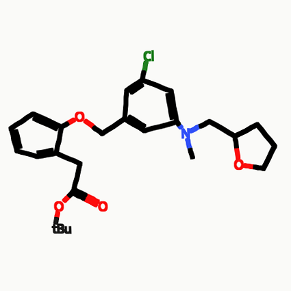 CN(CC1CCCO1)c1cc(Cl)cc(COc2ccccc2CC(=O)OC(C)(C)C)c1